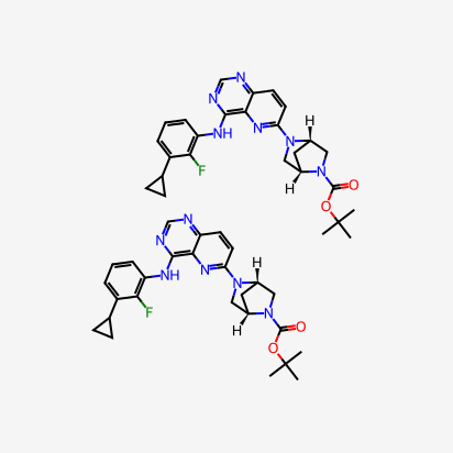 CC(C)(C)OC(=O)N1C[C@@H]2C[C@H]1CN2c1ccc2ncnc(Nc3cccc(C4CC4)c3F)c2n1.CC(C)(C)OC(=O)N1C[C@@H]2C[C@H]1CN2c1ccc2ncnc(Nc3cccc(C4CC4)c3F)c2n1